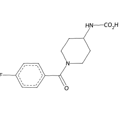 O=C(O)NC1CCN(C(=O)c2ccc(F)cc2)CC1